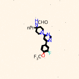 CCCC1(NC=O)CCN(c2cc(-c3ccc(OC(F)(F)F)c(F)c3)ncn2)CC1